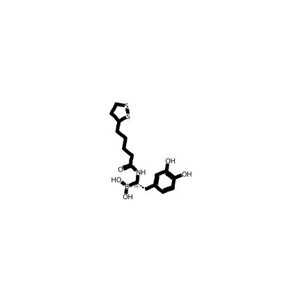 O=C(CCCCC1CCSS1)N[C@H](Cc1ccc(O)c(O)c1)B(O)O